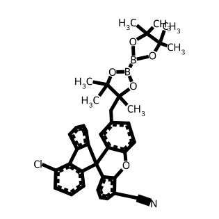 CC1(C)OB(B2OC(C)(C)C(C)(Cc3ccc4c(c3)C3(c5ccccc5-c5c(Cl)cccc53)c3cccc(C#N)c3O4)O2)OC1(C)C